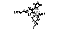 CCC1CCC(NC(=O)/C(=N\OCCO)c2cccs2)B(O)O1